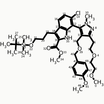 COCCOCCc1nn(C)c(-c2c(Cl)ccc3c(CCCO[Si](C)(C)C(C)(C)C)c(C(=O)OC)[nH]c23)c1COCc1ccc(OC)cc1